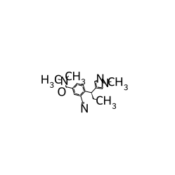 CC[C@H](c1cnn(C)c1)c1ccc(C(=O)N(C)C)cc1C#N